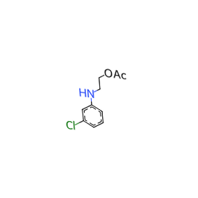 CC(=O)OCCNc1cccc(Cl)c1